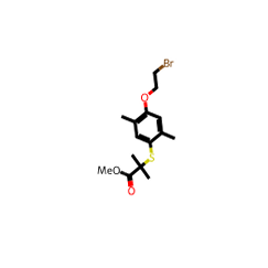 COC(=O)C(C)(C)Sc1cc(C)c(OCCBr)cc1C